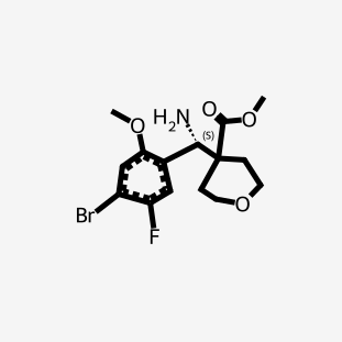 COC(=O)C1([C@@H](N)c2cc(F)c(Br)cc2OC)CCOCC1